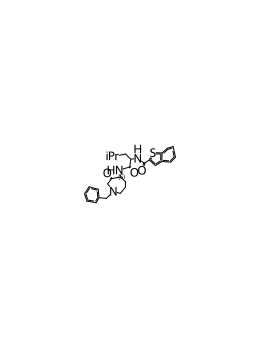 CC(C)CC(NC(=O)c1cc2ccccc2s1)C(=O)N[C@H]1CCCN(Cc2ccccc2)CC1=O